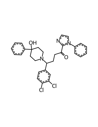 O=C(CCC(c1ccc(Cl)c(Cl)c1)N1CCC(O)(c2ccccc2)CC1)c1nccn1-c1ccccc1